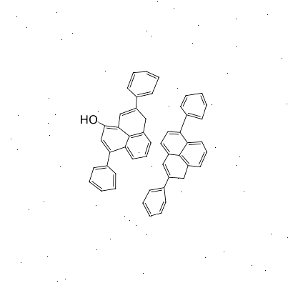 C1=C(c2ccccc2)Cc2cccc3c(-c4ccccc4)ccc1c23.Oc1cc(-c2ccccc2)c2cccc3c2c1C=C(c1ccccc1)C3